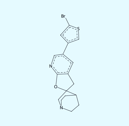 Brc1cc(-c2cnc3c(c2)CC2(CN4CCC2CC4)O3)cs1